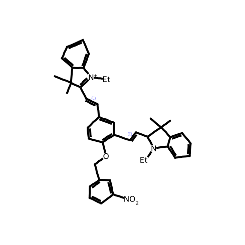 CCN1c2ccccc2C(C)(C)C1/C=C/c1cc(/C=C/C2=[N+](CC)c3ccccc3C2(C)C)ccc1OCc1cccc([N+](=O)[O-])c1